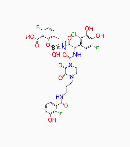 O=C(NCCCN1CCN(C(=O)NC(C(=O)N[C@H]2Cc3ccc(F)c(C(=O)O)c3OB2O)c2cc(F)c(O)c(O)c2Cl)C(=O)C1=O)c1cccc(O)c1F